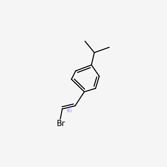 CC(C)c1ccc(/C=C/Br)cc1